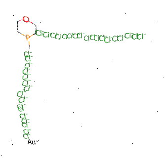 CP1CCOCC1.[Au+].[Cl-].[Cl-].[Cl-].[Cl-].[Cl-].[Cl-].[Cl-].[Cl-].[Cl-].[Cl-].[Cl-].[Cl-].[Cl-].[Cl-].[Cl-].[Cl-].[Cl-].[Cl-].[Cl-].[Cl-].[Cl-].[Cl-].[Cl-].[Cl-].[Cl-].[Cl-].[Cl-].[Cl-].[Cl-].[Cl-].[Cl-].[Cl-].[Cl-].[Cl-]